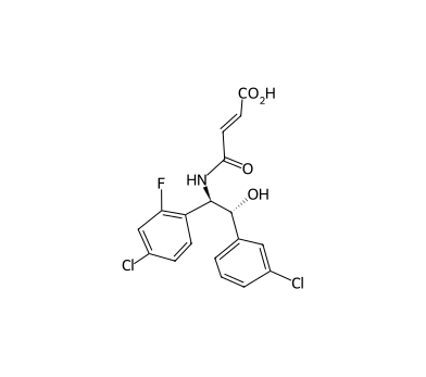 O=C(O)C=CC(=O)N[C@H](c1ccc(Cl)cc1F)[C@H](O)c1cccc(Cl)c1